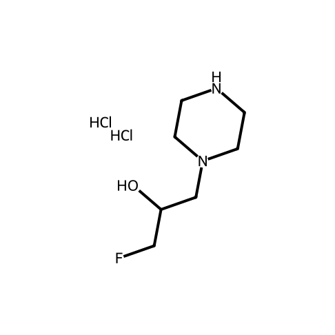 Cl.Cl.OC(CF)CN1CCNCC1